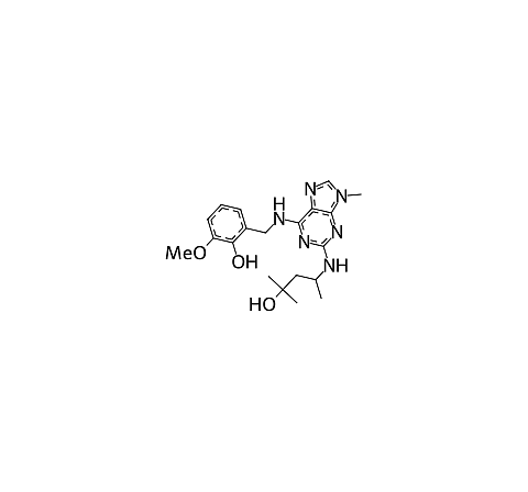 COc1cccc(CNc2nc(NC(C)CC(C)(C)O)nc3c2ncn3C)c1O